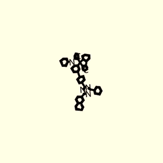 c1ccc(-c2nc(-c3ccc(-c4ccc5c(c4)C4(c6ccccc6-c6ccccc64)c4ccccc4N5c4ccccc4)cc3)nc(-c3ccc4ccccc4c3)n2)cc1